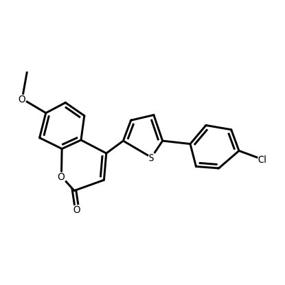 COc1ccc2c(-c3ccc(-c4ccc(Cl)cc4)s3)cc(=O)oc2c1